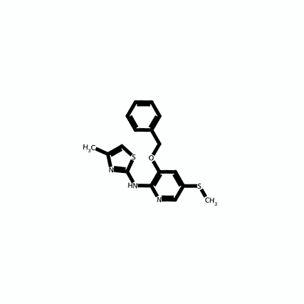 CSc1cnc(Nc2nc(C)cs2)c(OCc2ccccc2)c1